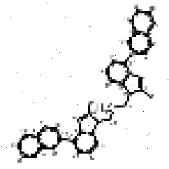 CC1=Cc2c(-c3ccc4ccccc4c3)cccc2C1C[SiH2]CC1C(C)=Cc2c(-c3ccc4ccccc4c3)cccc21